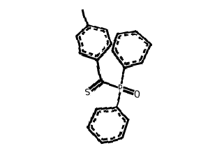 Cc1ccc(C(=S)P(=O)(c2ccccc2)c2ccccc2)cc1